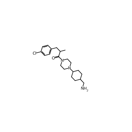 CC(Cc1ccc(Cl)cc1)C(=O)N1CCN(C2CCC(CN)CC2)CC1